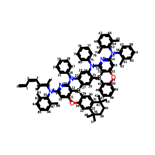 C=C/C=C\C(C)=C(/C)N(c1cc2c3c(n1)N(c1ccccc1)c1cc4c(cc1B3c1cc3c(cc1O2)C(C)(C)CCC3(C)C)B1c2ccccc2Oc2cc(N(c3ccccc3C)c3c(C)cccc3C)nc(c21)N4c1ccccc1)c1c(C)cccc1C